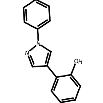 Oc1ccccc1-c1cnn(-c2ccccc2)c1